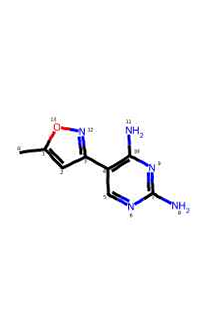 Cc1cc(-c2cnc(N)nc2N)no1